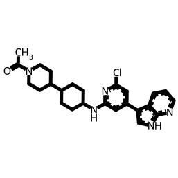 CC(=O)N1CCC(C2CCC(Nc3cc(-c4c[nH]c5ncccc45)cc(Cl)n3)CC2)CC1